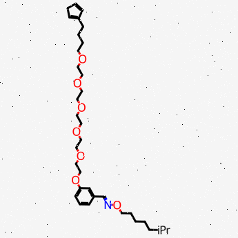 CC(C)CCCCCO/N=C/c1cccc(OCCOCCOCCOCCOCCOCCCCC2=CCC=C2)c1